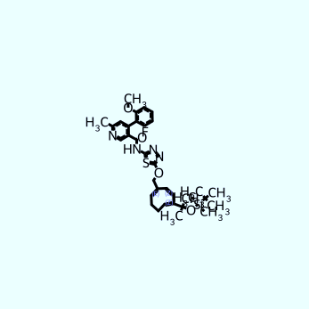 COc1cccc(F)c1-c1cc(C)ncc1C(=O)Nc1nnc(OCC2=C/CC/C=C(C(C)(C)O[Si](C)(C)C(C)(C)C)/C=C\2)s1